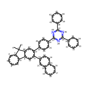 CC1(C)c2ccccc2-c2cc(-c3ccc4ccccc4c3)c(-c3ccc(-c4nc(-c5ccccc5)nc(-c5ccccc5)n4)cc3)cc21